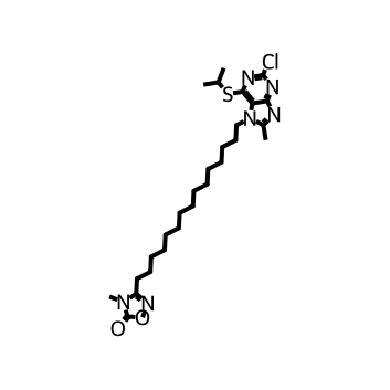 Cc1nc2nc(Cl)nc(SC(C)C)c2n1CCCCCCCCCCCCCCCc1noc(=O)n1C